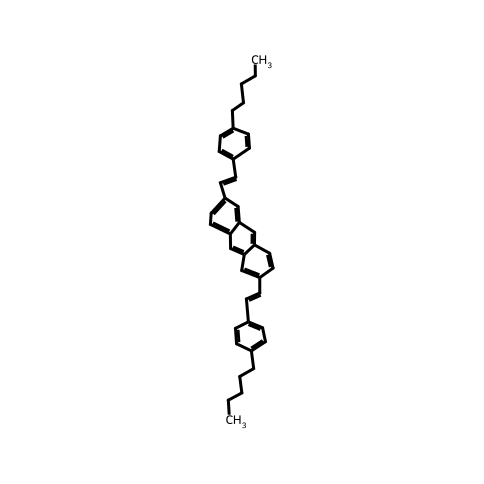 CCCCCc1ccc(C=Cc2ccc3cc4cc(C=Cc5ccc(CCCCC)cc5)ccc4cc3c2)cc1